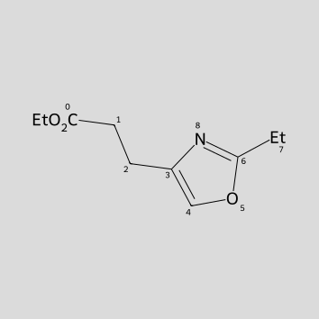 CCOC(=O)CCc1coc(CC)n1